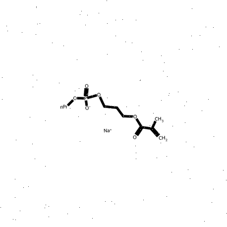 C=C(C)C(=O)OCCCOP(=O)([O-])OCCC.[Na+]